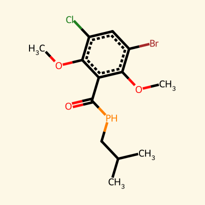 COc1c(Cl)cc(Br)c(OC)c1C(=O)PCC(C)C